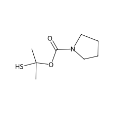 CC(C)(S)OC(=O)N1CCCC1